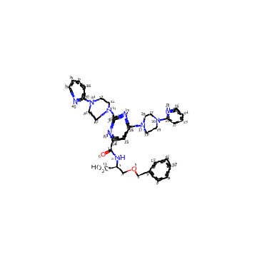 O=C(N[C@@H](COCc1ccccc1)C(=O)O)c1cc(N2CCN(c3ccccn3)CC2)nc(N2CCN(c3ccccn3)CC2)n1